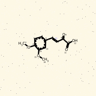 COc1ccc(/C=C/C(=O)C(=O)O)cc1OC